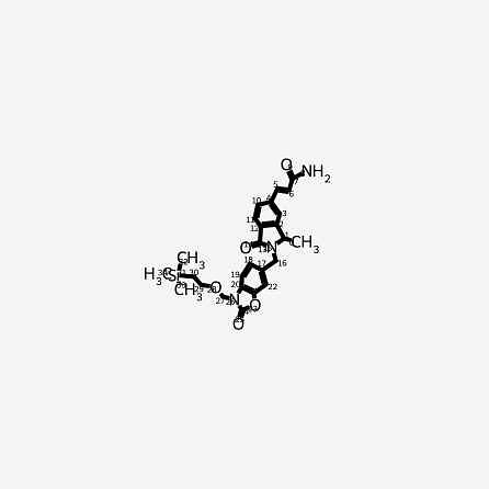 CC1c2cc(C=CC(N)=O)ccc2C(=O)N1Cc1ccc2c(c1)oc(=O)n2COCC[Si](C)(C)C